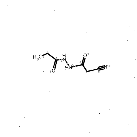 CCC(=O)NNC(=O)CC#N